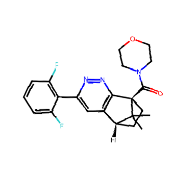 CC1(C)[C@@H]2CC[C@@]1(C(=O)N1CCOCC1)c1nnc(-c3c(F)cccc3F)cc12